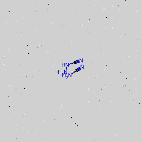 N#CN.N#CNN